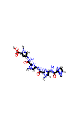 COC(=O)c1cc(NC(=O)c2nc(NC(=O)c3nc(NC(=O)c4nccn4C)cn3C)cn2C)cn1C